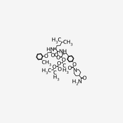 Cc1ccccc1OCC(=O)N[C@@H](CCC(C)C)C(=O)N[C@@H](Cc1ccc(OC(=O)N2CCC(C(N)=O)CC2)cc1)C(=O)OC(C)OC(=O)OC(C)C